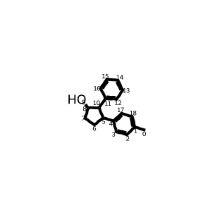 Cc1ccc(C2CCC(O)C2c2ccccc2)cc1